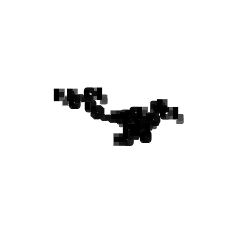 Cc1ncsc1-c1ccc(CNC(=O)[C@@H]2C[C@@H](O)CN2C(=O)[C@@H](NC(=O)CCCCCc2ccc(OC[C@@H](C)CCC(N)=O)cc2)C(C)(C)C)cc1